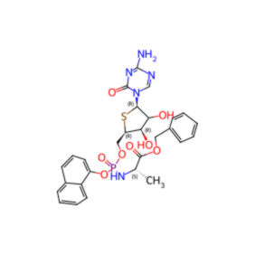 C[C@H](NP(=O)(OC[C@H]1S[C@@H](n2cnc(N)nc2=O)C(O)[C@H]1O)Oc1cccc2ccccc12)C(=O)OCc1ccccc1